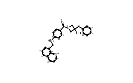 O=C(c1ccc(NCc2cccc3cccnc23)cc1)N1CC(O)(Cc2ccccc2)C1